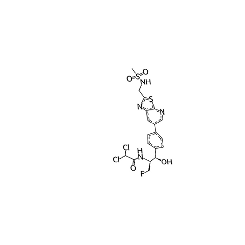 CS(=O)(=O)NCc1nc2cc(-c3ccc([C@@H](O)[C@@H](CF)NC(=O)C(Cl)Cl)cc3)cnc2s1